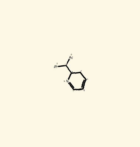 CC(=O)[C@H](C(C)C)C1CC=CC=N1